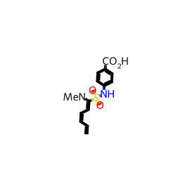 C=C/C=C\C=C(/NC)S(=O)(=O)Nc1ccc(C(=O)O)cc1